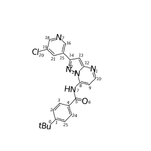 CC(C)(C)c1ccc(C(=O)Nc2ccnc3cc(-c4cncc(Cl)c4)nn23)cc1